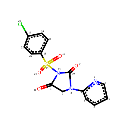 O=C1CN(c2ccccn2)C(=O)N1S(=O)(=O)c1ccc(Cl)cc1